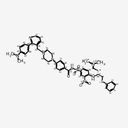 CN(C)CC[C@H](CSc1ccccc1)Nc1ccc(S(=O)(=O)NC(=O)c2ccc(N3CCN(Cc4cccnc4-c4ccc(N(C)C)cc4)CC3)cc2)cc1[N+](=O)[O-]